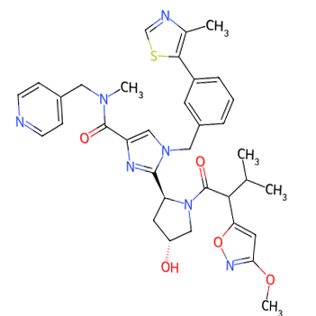 COc1cc(C(C(=O)N2C[C@H](O)C[C@H]2c2nc(C(=O)N(C)Cc3ccncc3)cn2Cc2cccc(-c3scnc3C)c2)C(C)C)on1